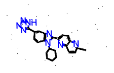 Cc1ccc2nc(-c3nc4cc(-c5nnn[nH]5)ccc4n3C3CCCCC3)ccc2n1